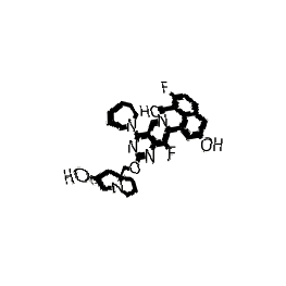 C#Cc1c(F)ccc2cc(O)cc(-c3ncc4c(N5CCC=CCC5)nc(OC[C@@]56CCCN5C[C@@H](O)C6)nc4c3F)c12